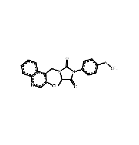 CC1C(=O)N(c2ccc(SC(F)(F)F)cc2)C(=O)N1Cc1c(Cl)cnc2ccccc12